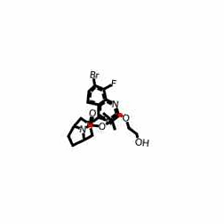 CC(C)(C)OC(=O)N1C2CCC1CN(c1nc(OCCO)nc3c(F)c(Br)ccc13)C2